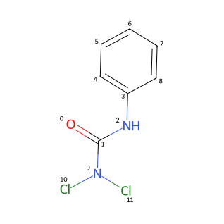 O=C(Nc1ccccc1)N(Cl)Cl